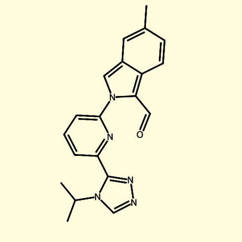 Cc1ccc2c(C=O)n(-c3cccc(-c4nncn4C(C)C)n3)cc2c1